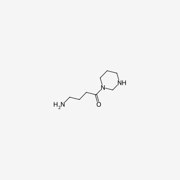 NCCCC(=O)N1CCCNC1